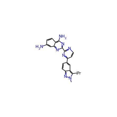 CC(C)c1c2cc(-c3ccnc(-c4nc(N)c5ccc(N)cc5n4)n3)ccc2nn1C